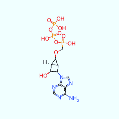 Nc1ncnc2c1ncn2[C@@H]1C2[C@@H]([C@@H]1O)[C@H]2OCP(=O)(O)OP(=O)(O)OP(=O)(O)O